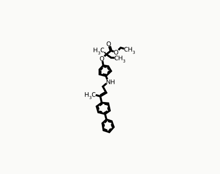 CCOC(=O)[C@](C)(CC)Oc1ccc(NC/C=C(\C)c2ccc(-c3ccccc3)cc2)cc1